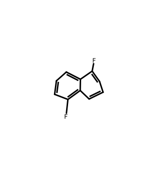 Fc1cccc2c(F)cccc12